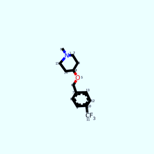 CN1CCC(OCc2ccc(C(F)(F)F)cc2)CC1